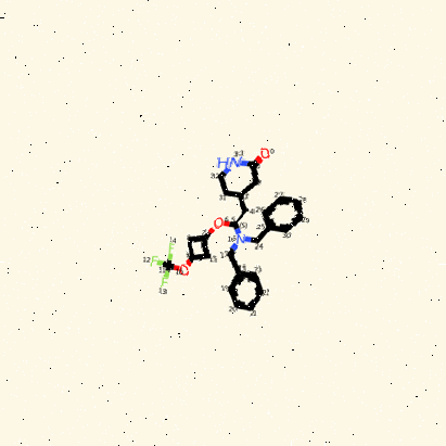 O=C1CC(C[C@H](OC2CC(OC(F)(F)F)C2)N(Cc2ccccc2)Cc2ccccc2)CCN1